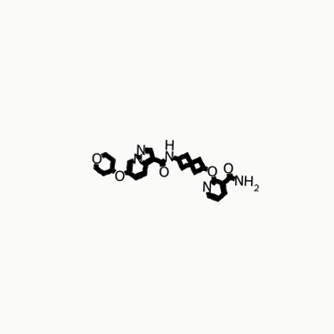 NC(=O)c1cccnc1OC1CC2(CC(NC(=O)c3cnn4cc(OC5CCOCC5)ccc34)C2)C1